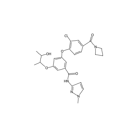 CC(O)C(C)Oc1cc(Oc2ccc(C(=O)N3CCC3)cc2Cl)cc(C(=O)Nc2ccn(C)n2)c1